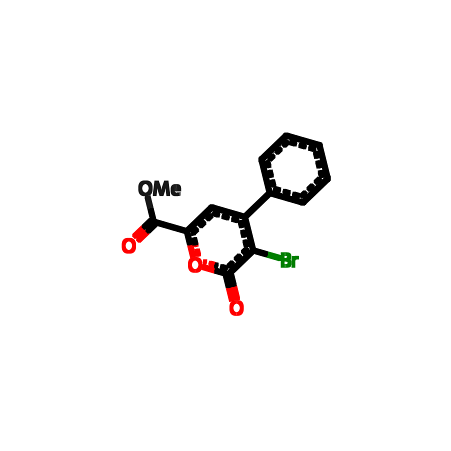 COC(=O)c1cc(-c2ccccc2)c(Br)c(=O)o1